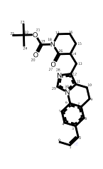 C/C=C\c1ccc2c(c1)CCc1c(CC3CCCN(C(=O)OC(C)(C)C)C3=O)ncn1-2